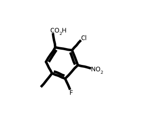 Cc1cc(C(=O)O)c(Cl)c([N+](=O)[O-])c1F